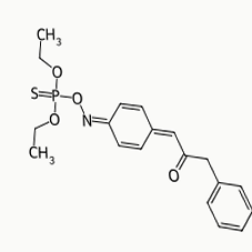 CCOP(=S)(OCC)ON=C1C=CC(=CC(=O)Cc2ccccc2)C=C1